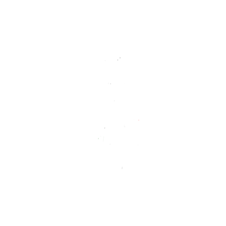 O=C(c1ccccc1)c1c(Cl)ccc2c1Cc1ccccc1-2